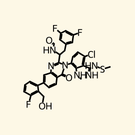 CNc1c(-n2c(C(Cc3cc(F)cc(F)c3)NC=O)nc3cc(-c4cccc(F)c4CO)ccc3c2=O)ccc(Cl)c1C(=N)NSC